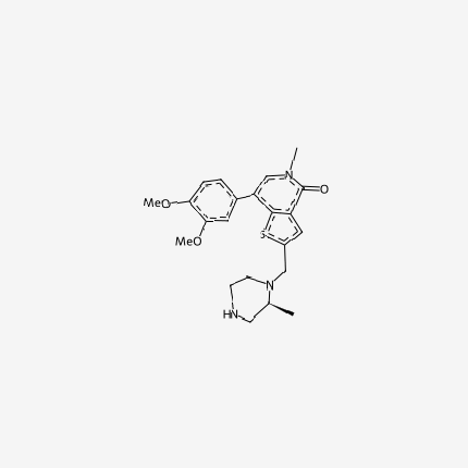 COc1ccc(-c2cn(C)c(=O)c3cc(CN4CCNC[C@@H]4C)sc23)cc1OC